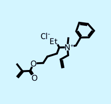 C=CC[N+](C)(Cc1ccccc1)C(CC)CCCOC(=O)C(=C)C.[Cl-]